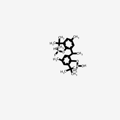 Cc1cc(C(C)c2cc(C)cc(C(C)(C)C)c2OP(O)F)c(OP(O)F)c(C(C)(C)C)c1